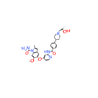 COc1cc2c(cc1Oc1ccnc(NC(=O)c3ccc(C4CCN(C[C@H](C)O)CC4)cc3)c1)cc(C)n2C(N)=O